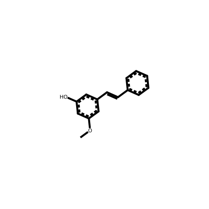 COc1cc(O)cc(C=Cc2ccccc2)c1